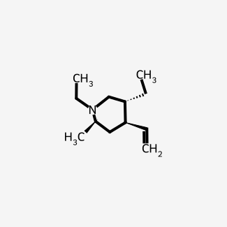 C=C[C@H]1C[C@@H](C)N(CC)C[C@@H]1CC